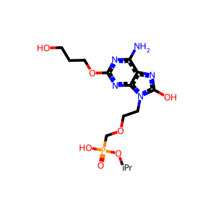 CC(C)OP(=O)(O)COCCn1c(O)nc2c(N)nc(OCCCO)nc21